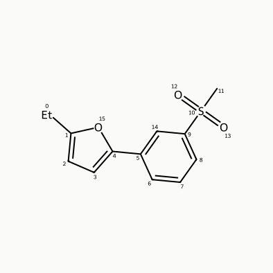 CCc1ccc(-c2cccc(S(C)(=O)=O)c2)o1